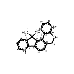 CC1(C)c2cccnc2-c2ccc3c(c21)-c1nccnc1OC3